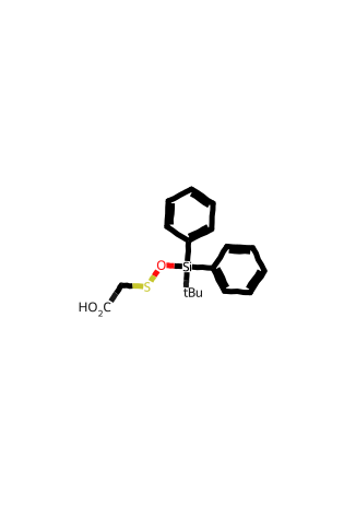 CC(C)(C)[Si](OSCC(=O)O)(c1ccccc1)c1ccccc1